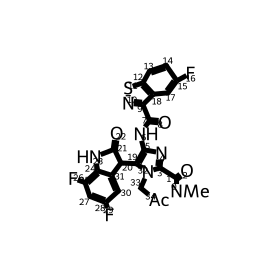 CNC(=O)c1nc(NC(=O)c2nsc3ccc(F)cc23)c(C2C(=O)Nc3c(F)cc(F)cc32)n1CC(C)=O